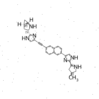 C[C@@H]1CN[C@H](c2nc(-c3ccc4cc(C#Cc5c[nH]c([C@@H]6C[C@H]7C[C@H]7N6)n5)ccc4c3)c[nH]2)C1